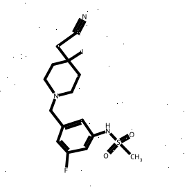 CS(=O)(=O)Nc1cc(F)cc(CN2CCC(I)(CC#N)CC2)c1